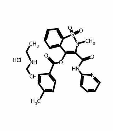 CCNCC.Cc1ccc(C(=O)OC2=C(C(=O)Nc3ccccn3)N(C)S(=O)(=O)c3ccccc32)cc1.Cl